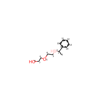 CC(BCCOCCO)c1ccccc1